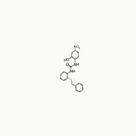 O=C(Nc1ccc([N+](=O)[O-])cc1O)Nc1ccccc1CCc1ccccc1